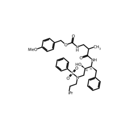 COc1ccc(COC(=O)NCC(C)C(=O)N[C@@H](Cc2ccccc2)[C@H](O)CN(CCC(C)C)S(=O)(=O)c2ccccc2)cc1